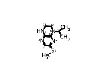 CSc1cnc2c(n1)N(C(C)C)CCN2